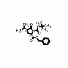 CC(C)[C@@H]1C[C@@H](C(=O)OCc2ccccc2)N(C(=O)OC(C)(C)C)C1=O